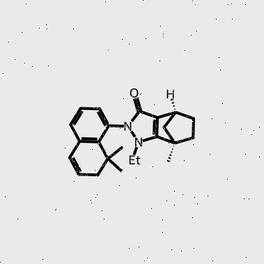 CCn1c2c(c(=O)n1-c1cccc3c1C(C)(C)CC=C3)[C@H]1CC[C@]2(C)C1